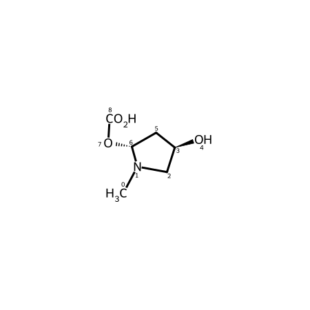 CN1C[C@H](O)C[C@H]1OC(=O)O